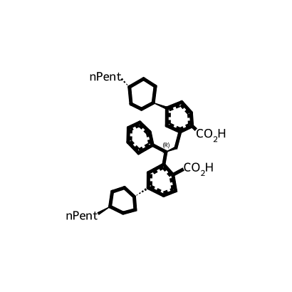 CCCCC[C@H]1CC[C@H](c2ccc(C(=O)O)c(C[C@H](c3ccccc3)c3cc([C@H]4CC[C@H](CCCCC)CC4)ccc3C(=O)O)c2)CC1